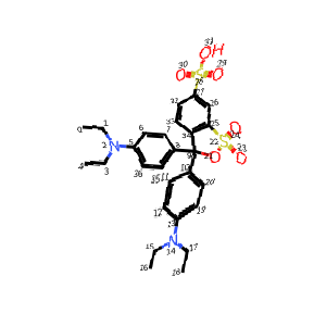 CCN(CC)c1ccc(C2(c3ccc(N(CC)CC)cc3)OS(=O)(=O)c3cc(S(=O)(=O)O)ccc32)cc1